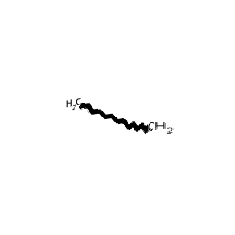 C=CCCCC[CH]CCCCCCC=C